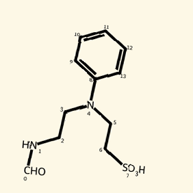 O=CNCCN(CCS(=O)(=O)O)c1ccccc1